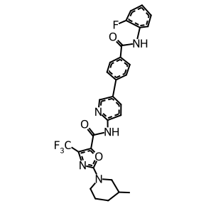 CC1CCCN(c2nc(C(F)(F)F)c(C(=O)Nc3ccc(-c4ccc(C(=O)Nc5ccccc5F)cc4)cn3)o2)C1